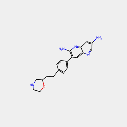 Nc1cnc2cc(-c3ccc(CCC4CNCCO4)cc3)c(N)nc2c1